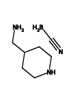 BC#N.NCC1CCNCC1